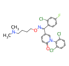 CN(C)CCCCO/N=C(\c1ccc(=O)n(-c2c(Cl)cccc2Cl)c1)c1ccc(F)cc1Cl